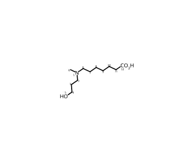 CN(CCCO)CCCCCCC(=O)O